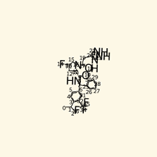 CC(C)c1ccc(C(NC(=O)[C@@H]2C[C@@H](F)CN2C(=O)CC2=CNNN2)c2ccccc2)cc1C(F)(F)F